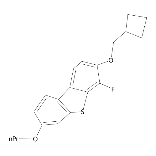 CCCOc1ccc2c(c1)sc1c(F)c(OCC3CCC3)ccc12